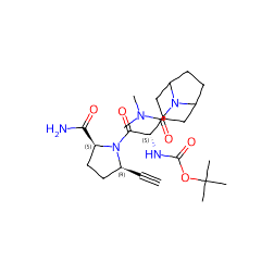 C#C[C@H]1CC[C@@H](C(N)=O)N1C(=O)[C@@H](NC(=O)OC(C)(C)C)C1CC2CCC(C1)N2C(=O)N(C)C